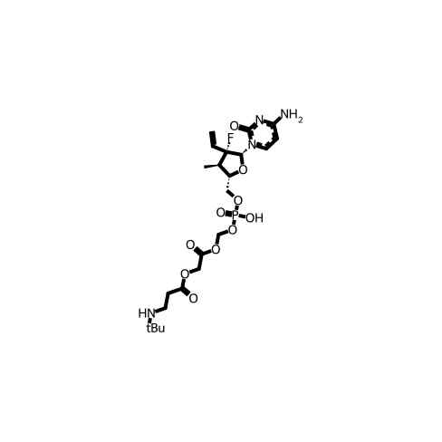 C=C[C@]1(F)[C@H](C)[C@@H](COP(=O)(O)OCOC(=O)COC(=O)CCNC(C)(C)C)O[C@H]1n1ccc(N)nc1=O